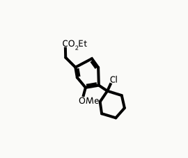 CCOC(=O)Cc1ccc(C2(Cl)CCCCC2)c(OC)c1